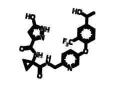 CC(O)c1ccc(Oc2ccc(CNC(=O)C3(NC(=O)c4cc(O)[nH]n4)CC3)nc2)c(C(F)(F)F)c1